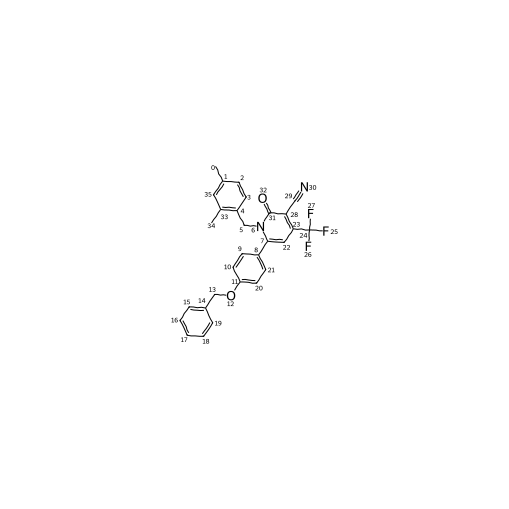 Cc1ccc(Cn2c(-c3ccc(OCc4ccccc4)cc3)cc(C(F)(F)F)c(C#N)c2=O)c(C)c1